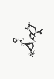 CC(C)N1CC(=O)N(C)c2cnc(Nc3cc(NC(=O)[C@@H]4CCCN4)cc(S(C)(=O)=O)c3)nc21